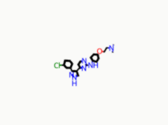 CN(C)CCOc1ccc(Nc2nccc(-c3c[nH]nc3-c3cccc(Cl)c3)n2)cc1